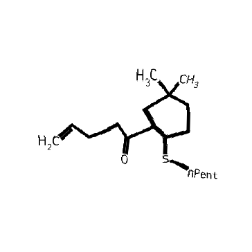 C=CCCC(=O)C1CC(C)(C)CCC1SCCCCC